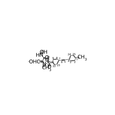 Cc1ccc(C#Cc2ccc(S(=O)(=O)N(C)[C@@H]([C]=O)C(=O)NO)cc2)cc1